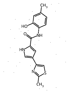 Cc1ccc(NC(=O)c2cc(-c3csc(C)n3)c[nH]2)c(O)c1